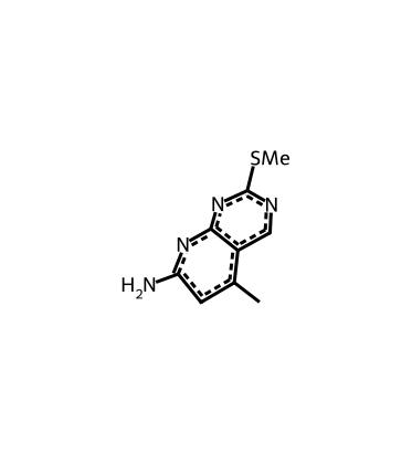 CSc1ncc2c(C)cc(N)nc2n1